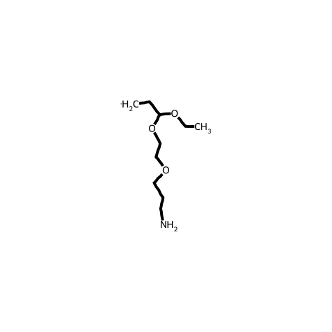 [CH2]CC(OCC)OCCOCCCN